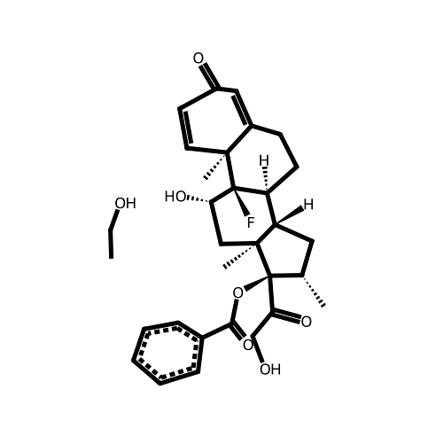 CCO.C[C@H]1C[C@H]2[C@@H]3CCC4=CC(=O)C=C[C@]4(C)[C@@]3(F)[C@@H](O)C[C@]2(C)[C@@]1(OC(=O)c1ccccc1)C(=O)CO